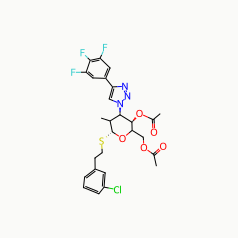 CC(=O)OCC1O[C@H](SCCc2cccc(Cl)c2)C(C)[C@@H](n2cc(-c3cc(F)c(F)c(F)c3)nn2)[C@H]1OC(C)=O